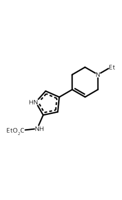 CCOC(=O)Nc1cc(C2=CCN(CC)CC2)c[nH]1